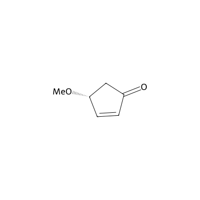 CO[C@H]1C=CC(=O)C1